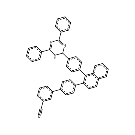 N#Cc1cccc(-c2ccc(-c3ccc4ccccc4c3-c3ccc(C4N=C(c5ccccc5)N=C(c5ccccc5)N4)cc3)cc2)c1